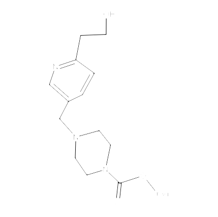 CC(C)(C)OC(=O)N1CCN(Cc2ccc(CCO)nc2)CC1